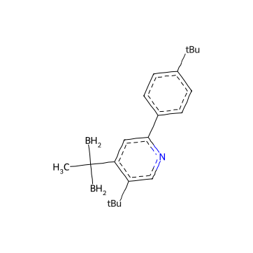 BC(B)(C)c1cc(-c2ccc(C(C)(C)C)cc2)ncc1C(C)(C)C